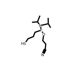 CC(C)N(C(C)C)P(CCCS)OCCC#N